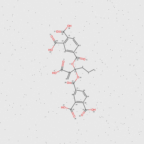 C=C(C(=O)O)C(CCC)(OC(=O)c1ccc(C(=O)O)c(C(=O)O)c1)OC(=O)c1ccc(C(=O)O)c(C(=O)O)c1